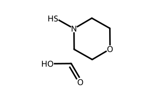 O=CO.SN1CCOCC1